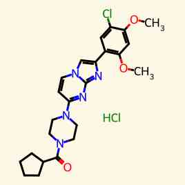 COc1cc(OC)c(-c2cn3ccc(N4CCN(C(=O)C5CCCC5)CC4)nc3n2)cc1Cl.Cl